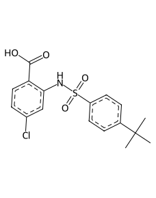 CC(C)(C)c1ccc(S(=O)(=O)Nc2cc(Cl)ccc2C(=O)O)cc1